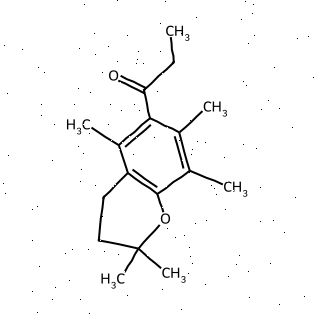 CCC(=O)c1c(C)c(C)c2c(c1C)CCC(C)(C)O2